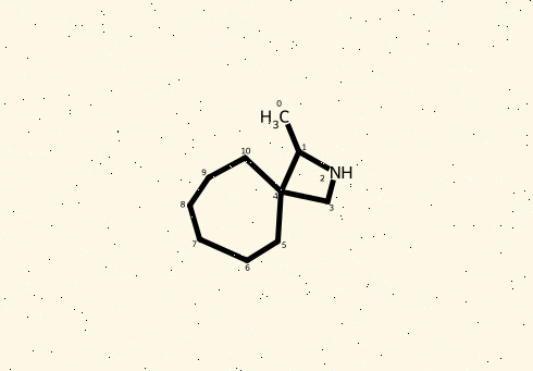 CC1NCC12CCCCCC2